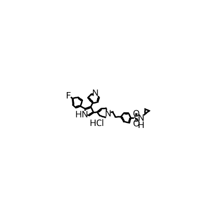 Cl.O=S(=O)(NC1CC1)c1ccc(CCN2CC=C(c3c[nH]c(-c4ccc(F)cc4)c3-c3ccncc3)CC2)cc1